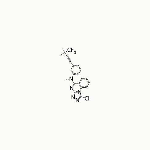 CN(c1cccc(C#CC(C)(C)C(F)(F)F)c1)c1nc2nnc(Cl)n2c2ccccc12